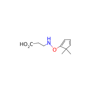 CC1(C)C=CC=C1ONCCC(=O)O